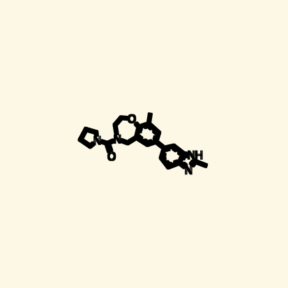 Cc1nc2ccc(-c3cc(C)c4c(c3)CN(C(=O)N3CCCC3)CCO4)cc2[nH]1